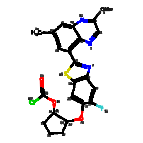 COc1cnc2c(-c3nc4cc(F)c(O[C@H]5CCC[C@H]5OC(=O)Cl)cc4s3)cc(C)cc2n1